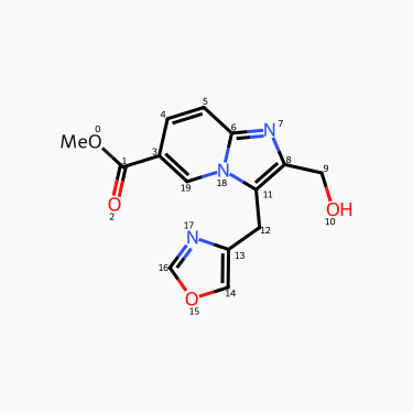 COC(=O)c1ccc2nc(CO)c(Cc3cocn3)n2c1